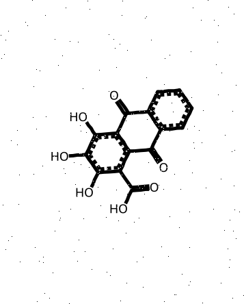 O=C(O)c1c(O)c(O)c(O)c2c1C(=O)c1ccccc1C2=O